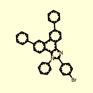 Brc1ccc(-c2nc3c4ccc(-c5ccccc5)cc4c4cc(-c5ccccc5)ccc4c3n2-c2ccccc2)cc1